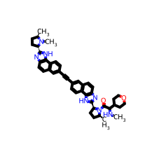 CNC(C(=O)N1[C@@H](C)CC[C@H]1c1nc2ccc3cc(C#Cc4ccc5c(ccc6nc([C@@H]7CC[C@H](C)N7C)[nH]c65)c4)ccc3c2[nH]1)C1CCOCC1